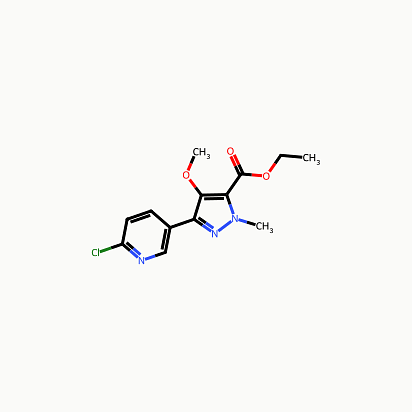 CCOC(=O)c1c(OC)c(-c2ccc(Cl)nc2)nn1C